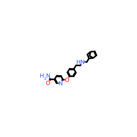 NC(=O)c1ccc(Oc2ccc(CCNCC3CC4C=CC3C4)cc2)nc1